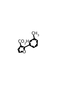 Cc1cccc(-c2occc2C(=O)O)c1